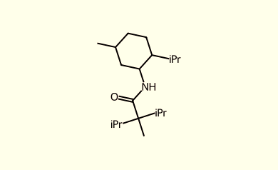 CC1CCC(C(C)C)C(NC(=O)C(C)(C(C)C)C(C)C)C1